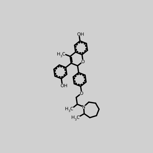 CC1=C(c2cccc(O)c2)C(c2ccc(OCC(C)N3CCCCCC3C)cc2)Oc2ccc(O)cc21